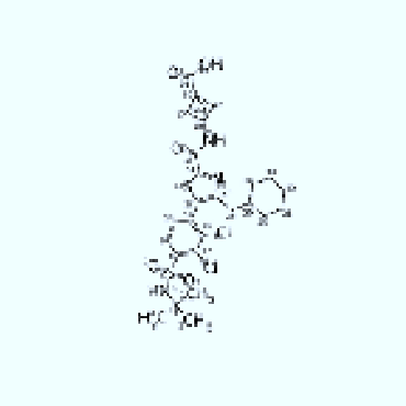 CC(C)(C)NS(=O)(=O)c1ccc(-c2sc(C(=O)NC34CC(C(=O)O)(C3)C4)nc2CC2CCCCC2)c(Cl)c1Cl